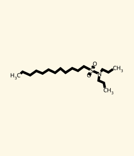 CCCCCCCCCCCCS(=O)(=O)N(CCC)CCC